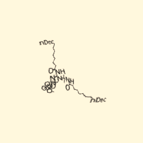 CCCCCCCCCCCCCCCCCC(=O)NC1=NCCN1C(C)(C)NC(=O)CCCCCCCCCCCCCCCCC.COS(=O)(=O)O